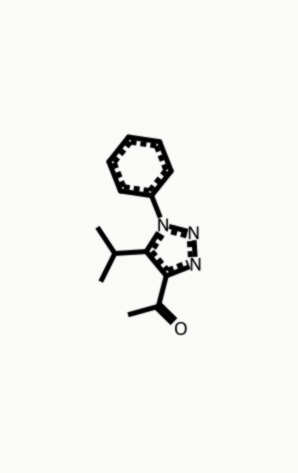 CC(=O)c1nnn(-c2ccccc2)c1C(C)C